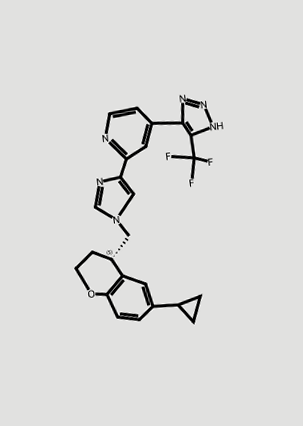 FC(F)(F)c1[nH]nnc1-c1ccnc(-c2cn(C[C@H]3CCOc4ccc(C5CC5)cc43)cn2)c1